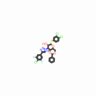 OC1C(n2cc(-c3cc(F)c(Cl)c(F)c3)nn2)[C@H]2OC(c3ccccc3)OCC2O[C@@H]1Sc1ccc(Cl)c(Cl)c1